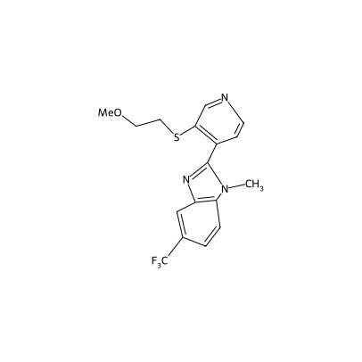 COCCSc1cnccc1-c1nc2cc(C(F)(F)F)ccc2n1C